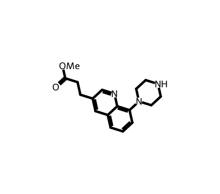 COC(=O)CCc1cnc2c(N3CCNCC3)cccc2c1